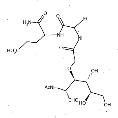 CCC(NC(=O)CO[C@@H]([C@H](O)[C@H](O)CO)[C@H](C=O)NC(C)=O)C(=O)NC(CCC(=O)O)C(N)=O